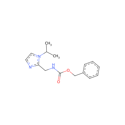 CC(C)n1ccnc1CNC(=O)OCc1ccccc1